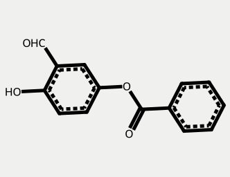 O=Cc1cc(OC(=O)c2ccccc2)ccc1O